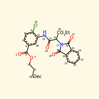 CCCCCCCCCCCCOC(=O)c1ccc(Cl)c(NC(=O)C(C(=O)OCC)N2C(=O)c3ccccc3C2=O)c1